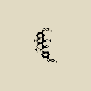 COc1ccc(N(C)C(=O)c2c(O)c3cc(OC)ccc3[nH]c2=O)cc1